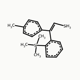 Cc1ccc(C(=C[SiH3])c2ccccc2[Si](C)(C)C)cc1